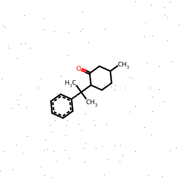 CC1CCC(C(C)(C)c2ccccc2)C(=O)C1